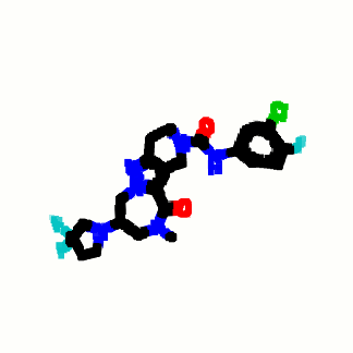 CN1CC(N2CCC(F)(F)C2)Cn2nc3c(c2C1=O)CN(C(=O)Nc1ccc(F)c(Cl)c1)CC3